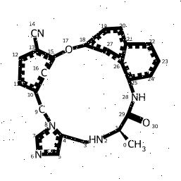 C[C@H]1NCc2cncn2Cc2ccc(C#N)c(c2)Oc2ccc3cccc(c3c2)NC1=O